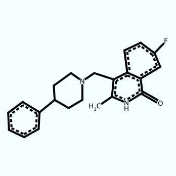 Cc1[nH]c(=O)c2cc(F)ccc2c1CN1CCC(c2ccccc2)CC1